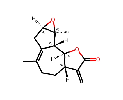 C=C1C(=O)O[C@H]2[C@H]1CCC(C)=C1C[C@H]3O[C@@]3(C)[C@@H]12